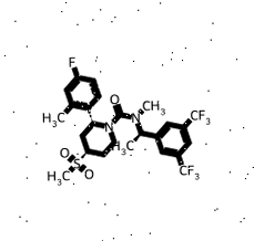 Cc1cc(F)ccc1[C@H]1C[C@@H](S(C)(=O)=O)CCN1C(=O)N(C)[C@H](C)c1cc(C(F)(F)F)cc(C(F)(F)F)c1